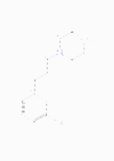 BrC1=CC=CC(CCCN2CCOCC2)C1